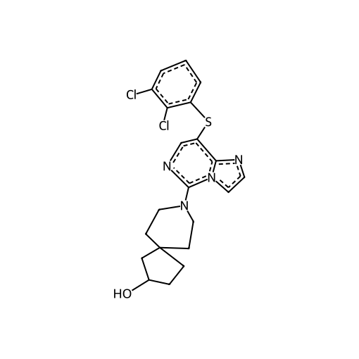 OC1CCC2(CCN(c3ncc(Sc4cccc(Cl)c4Cl)c4nccn34)CC2)C1